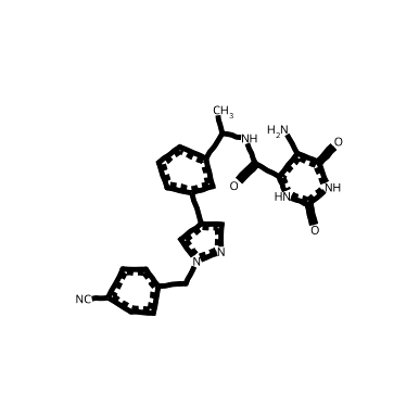 CC(NC(=O)c1[nH]c(=O)[nH]c(=O)c1N)c1cccc(-c2cnn(Cc3ccc(C#N)cc3)c2)c1